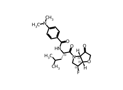 CC(C)C[C@H](NC(=O)c1ccc(N(C)C)cc1)C(=O)N1C[C@H](F)[C@H]2OCC(=O)[C@H]21